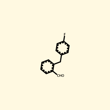 O=Cc1ccccc1Cc1ccc(F)cc1